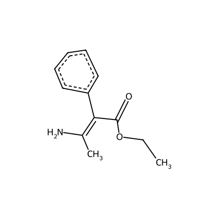 CCOC(=O)C(=C(C)N)c1ccccc1